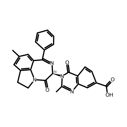 Cc1cc2c3c(c1)C(c1ccccc1)=N[C@@H](n1c(C)nc4cc(C(=O)O)ccc4c1=O)C(=O)N3CC2